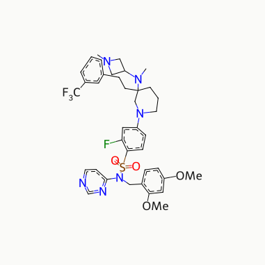 COc1ccc(CN(c2ccncn2)S(=O)(=O)c2ccc(N3CCCC(CCc4cccc(C(F)(F)F)c4)(N(C)C4CN(C)C4)C3)cc2F)c(OC)c1